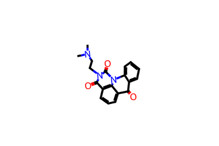 CN(C)CCn1c(=O)c2cccc3c(=O)c4ccccc4n(c1=O)c32